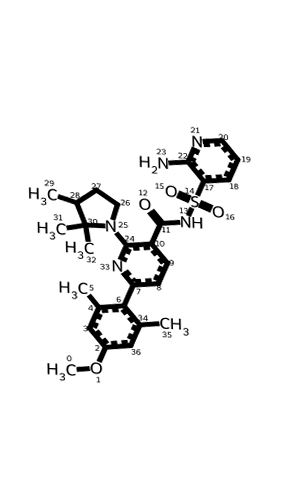 COc1cc(C)c(-c2ccc(C(=O)NS(=O)(=O)c3cccnc3N)c(N3CCC(C)C3(C)C)n2)c(C)c1